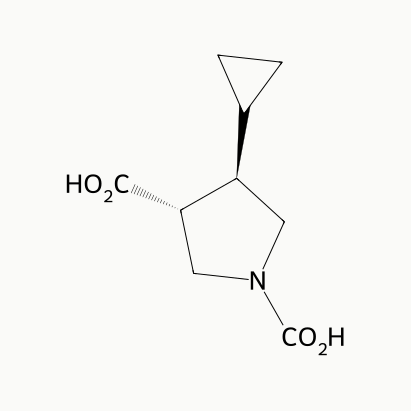 O=C(O)[C@H]1CN(C(=O)O)C[C@@H]1C1CC1